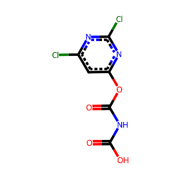 O=C(O)NC(=O)Oc1cc(Cl)nc(Cl)n1